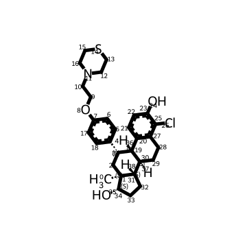 C[C@]12C[C@H](c3ccc(OCCN4CCSCC4)cc3)[C@@H]3c4ccc(O)c(Cl)c4CC[C@H]3[C@@H]1CC[C@@H]2O